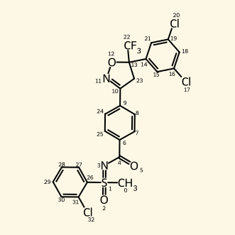 CS(=O)(=NC(=O)c1ccc(C2=NOC(c3cc(Cl)cc(Cl)c3)(C(F)(F)F)C2)cc1)c1ccccc1Cl